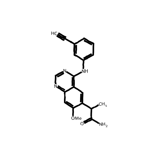 C#Cc1cccc(Nc2ncnc3cc(OC)c(C(C)C(N)=O)cc23)c1